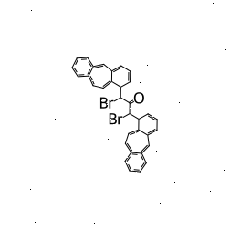 O=C(C(Br)C1C=CC=C2C=c3ccccc3=CC=C21)C(Br)C1C=CC=C2C=c3ccccc3=CC=C21